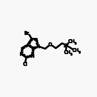 C[Si](C)(C)CCOCn1cc(Br)c2cnc(Cl)nc21